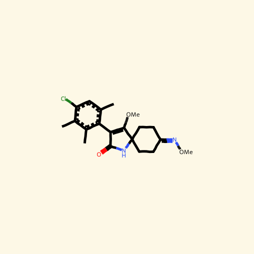 CON=C1CCC2(CC1)NC(=O)C(c1c(C)cc(Cl)c(C)c1C)=C2OC